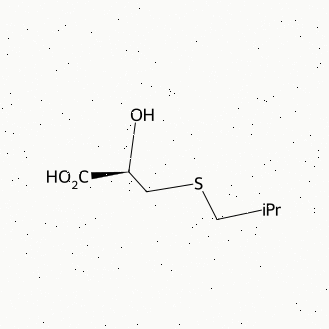 CC(C)CSC[C@H](O)C(=O)O